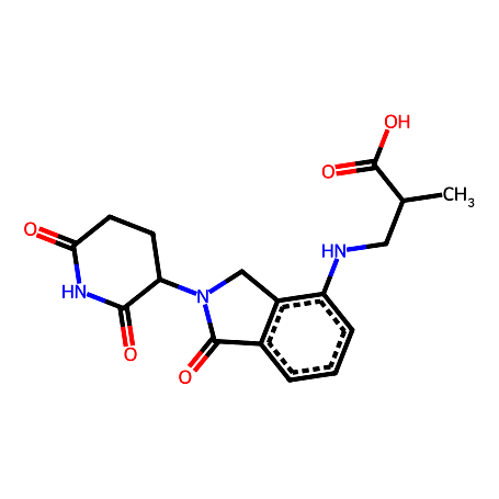 CC(CNc1cccc2c1CN(C1CCC(=O)NC1=O)C2=O)C(=O)O